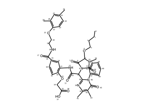 CCCCOC1C(=O)N(C(C(=O)Nc2cc(C(=O)NCCOc3ccc(C)cc3C)ccc2OCC(=O)O)c2nc(C)c(C)c(=O)n2-c2ccccc2)C(=O)N1C